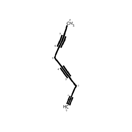 C#CCC#CCC#CC